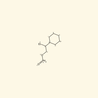 CCC(CO[PH2]=O)C1CCCCC1